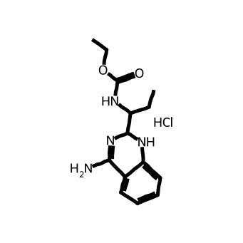 CCOC(=O)NC(CC)C1N=C(N)c2ccccc2N1.Cl